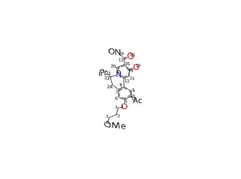 COCCCOc1cc2c(cc1C(C)=O)-c1cc(=O)c(C(=O)N=O)cn1C(C(C)C)C2